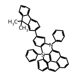 CC1(C)c2ccccc2-c2ccc(-c3ccc4c(c3)N(c3ccccc3)c3cc5cccc6c5c(c3[Si]4(c3ccccc3)c3ccccc3)CC=C6)cc21